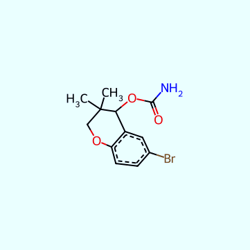 CC1(C)COc2ccc(Br)cc2C1OC(N)=O